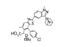 Cc1cc2nc(-c3ccc4c(c3)c(N3CC5CC(C3)N5C)nn4C)sc2c(-c2ccc(Cl)cc2)c1C(OC(C)(C)C)C(=O)O